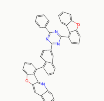 c1ccc(-c2nc(-c3ccc4c(-c5cccc6oc7cc8ccccc8nc7c56)cccc4c3)nc(-c3cccc4oc5ccccc5c34)n2)cc1